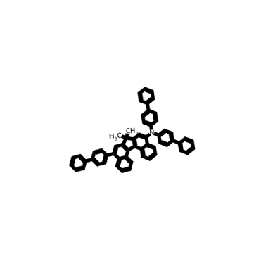 CC1(C)c2cc(-c3ccc(-c4ccccc4)cc3)c3ccccc3c2-c2c1cc(N(c1ccc(-c3ccccc3)cc1)c1ccc(-c3ccccc3)cc1)c1ccccc21